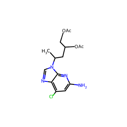 CC(=O)OCC(CC(C)n1cnc2c(Cl)cc(N)nc21)OC(C)=O